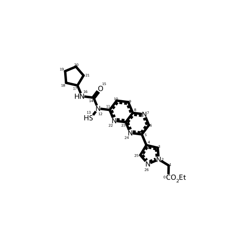 CCOC(=O)Cn1cc(-c2cnc3ccc(N(S)C(=O)NC4CCCC4)nc3n2)cn1